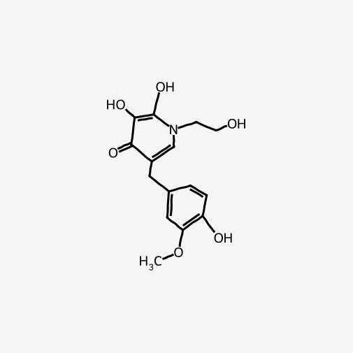 COc1cc(Cc2cn(CCO)c(O)c(O)c2=O)ccc1O